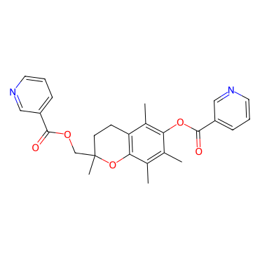 Cc1c(C)c2c(c(C)c1OC(=O)c1cccnc1)CCC(C)(COC(=O)c1cccnc1)O2